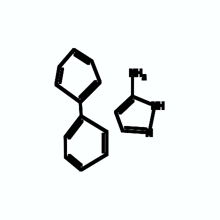 Nc1ccn[nH]1.c1ccc(-c2ccccc2)cc1